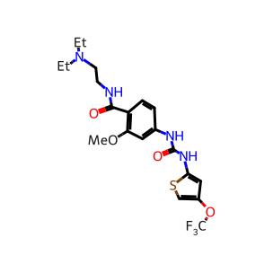 CCN(CC)CCNC(=O)c1ccc(NC(=O)Nc2cc(OC(F)(F)F)cs2)cc1OC